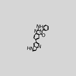 Nc1nc2ccc(-c3cnc4cc[nH]c4c3)cc2c(=O)n1-c1ccccc1